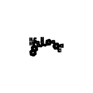 CC(=O)Nc1cc2ccccc2cc1OCC(O)CN1CCC(Oc2ccc(Cl)c(Cl)c2)C1